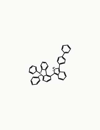 c1ccc(-c2ccc(-c3sc(-c4cccc5c4-c4ccccc4S5(c4ccccc4)c4ccccc4)c4ccccc34)cc2)cc1